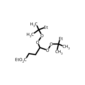 CCOC(=O)CCC(OOC(C)(C)CC)OOC(C)(C)CC